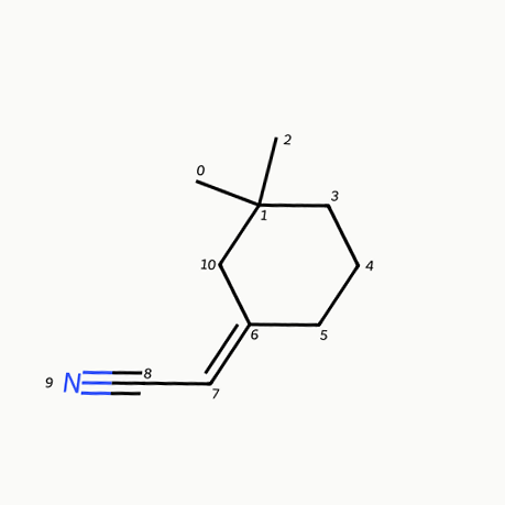 CC1(C)CCCC(=CC#N)C1